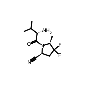 CC(C)[C@H](N)C(=O)N1[C@H](C#N)CC(F)(F)[C@@H]1C